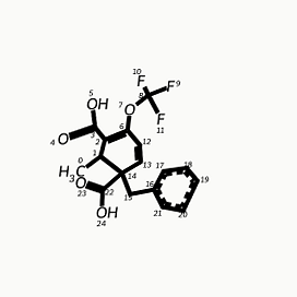 CC1C(C(=O)O)=C(OC(F)(F)F)C=CC1(Cc1ccccc1)C(=O)O